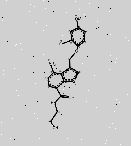 COc1ccc(OCc2csc3c(C(=O)NCCO)cnc(N)c23)c(Cl)c1